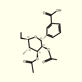 CC[C@H]1O[C@H](c2cccc(C(=O)O)c2)[C@@H](OC(C)=O)[C@@H](OC(C)=O)[C@@H]1C